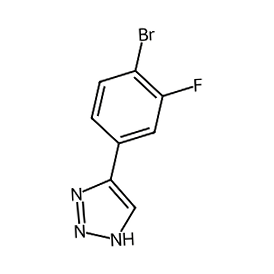 Fc1cc(-c2c[nH]nn2)ccc1Br